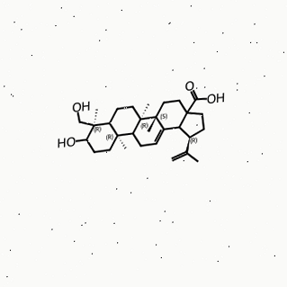 C=C(C)[C@@H]1CCC2(C(=O)O)CC[C@]3(C)C(=CCC4[C@@]5(C)CCC(O)[C@@](C)(CO)C5CC[C@]43C)C12